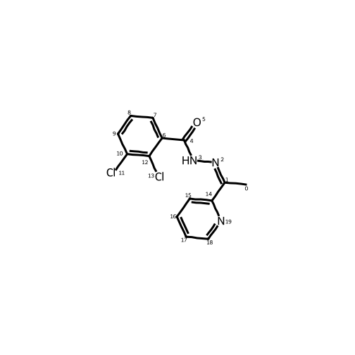 CC(=NNC(=O)c1cccc(Cl)c1Cl)c1ccccn1